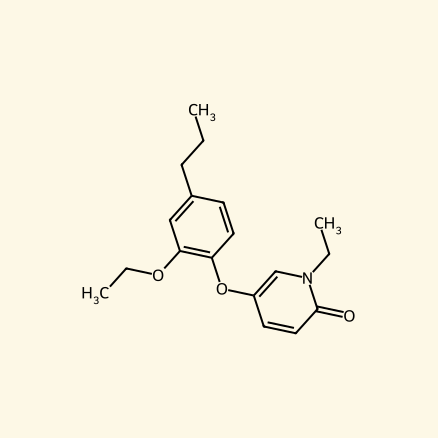 CCCc1ccc(Oc2ccc(=O)n(CC)c2)c(OCC)c1